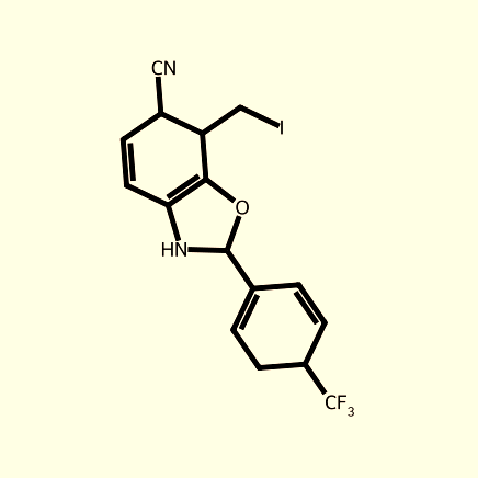 N#CC1C=CC2=C(OC(C3=CCC(C(F)(F)F)C=C3)N2)C1CI